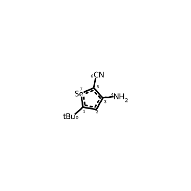 CC(C)(C)c1cc(N)c(C#N)[se]1